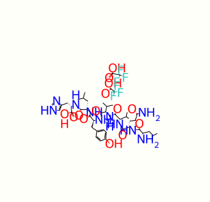 CC(C)C[C@H](NC(=O)[C@H](Cc1ccc(O)cc1)NC(=O)[C@@H](NC(=O)[C@@H](NC(=O)[C@H](CCC(N)=O)NC(=O)[C@@H](N)CC(C)C)C(C)C)C(C)C)C(=O)N[C@@H](Cc1c[nH]cn1)C(=O)O.O=C(O)C(F)(F)F.O=C(O)C(F)(F)F